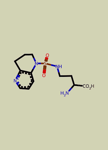 NC(CCNS(=O)(=O)N1CCCc2ncccc21)C(=O)O